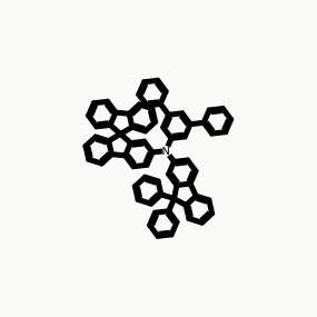 c1ccc(-c2cc(-c3ccccc3)cc(N(c3ccc4c(c3)C(c3ccccc3)(c3ccccc3)c3ccccc3-4)c3ccc4c(c3)C3(c5ccccc5-c5ccccc53)c3ccccc3-4)c2)cc1